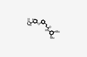 CC(C)(C)c1cc(NC(=O)C=Cc2cccc(Oc3ccnc(C4=NCCN4)c3)c2)cc(C(C)(C)C)c1